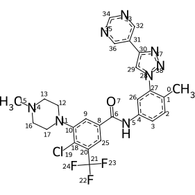 Cc1ccc(NC(=O)c2cc(N3CCN(C)CC3)c(Cl)c(C(F)(F)F)c2)cc1-n1cc(-c2cncnc2)nn1